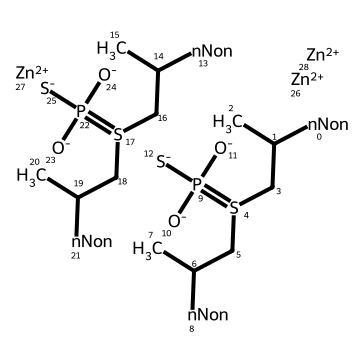 CCCCCCCCCC(C)CS(CC(C)CCCCCCCCC)=P([O-])([O-])[S-].CCCCCCCCCC(C)CS(CC(C)CCCCCCCCC)=P([O-])([O-])[S-].[Zn+2].[Zn+2].[Zn+2]